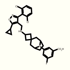 O=C(O)c1cc(F)cc(N2C3CCC2CC2(CC(NCc4c(-c5c(Cl)cccc5Cl)noc4C4CC4)C2)C3)c1